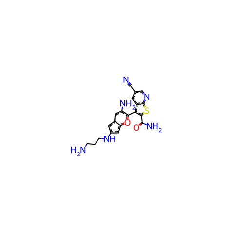 N#Cc1cnc2sc(C(N)=O)c(-c3oc4cc(NCCCN)cc-4cc3N)c2c1